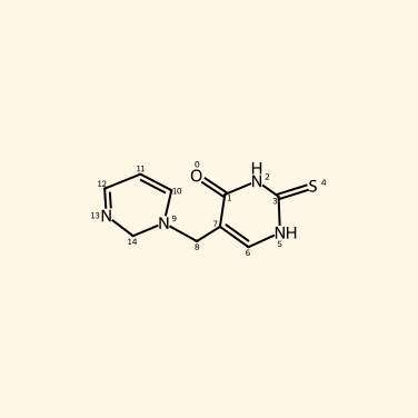 O=c1[nH]c(=S)[nH]cc1CN1C=CC=NC1